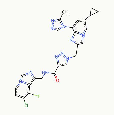 Cc1nncn1-c1cc(C2CC2)cn2cc(Cn3cc(C(=O)NCc4ncn5ccc(Cl)c(F)c45)nn3)nc12